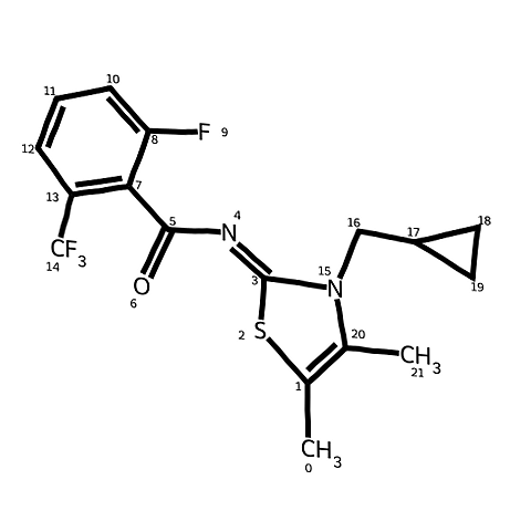 Cc1s/c(=N\C(=O)c2c(F)cccc2C(F)(F)F)n(CC2CC2)c1C